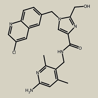 Cc1cc(N)nc(C)c1CNC(=O)c1cn(Cc2ccc3ncc(Cl)cc3c2)c(CO)n1